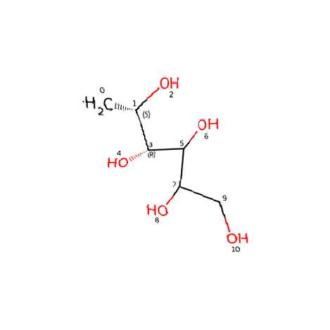 [CH2][C@H](O)[C@@H](O)C(O)C(O)CO